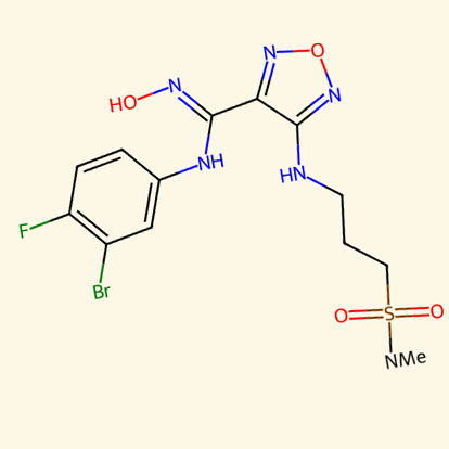 CNS(=O)(=O)CCCNc1nonc1/C(=N/O)Nc1ccc(F)c(Br)c1